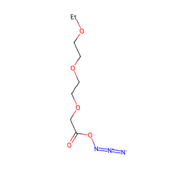 CCOCCOCCOCC(=O)ON=[N+]=[N-]